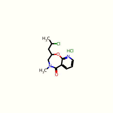 CC(Cl)CC1CN(C)C(=O)c2cccnc2O1.Cl